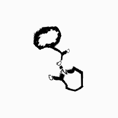 O=C(ON1CCCCCC1=O)c1ccccc1